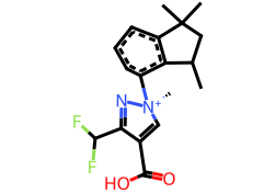 CC1CC(C)(C)c2cccc([N@@+]3(C)C=C(C(=O)O)C(C(F)F)=N3)c21